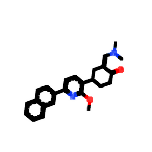 COc1nc(-c2ccc3ccccc3c2)ccc1C1CCC(=O)/C(=C\N(C)C)C1